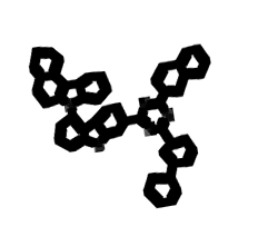 c1ccc(-c2cccc(-c3nc(-c4ccc5ccccc5c4)nc(-c4ccc5c(c4)sc4cccc(-n6c7ccccc7c7c8ccccc8ccc76)c45)n3)c2)cc1